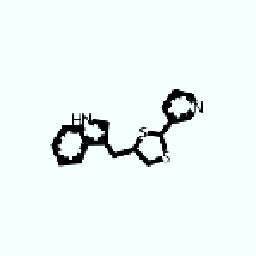 c1cncc(C2SCC(Cc3c[nH]c4ccccc34)S2)c1